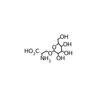 N[C@@H](COC1OC(CO)C(O)C(O)C1O)C(=O)O